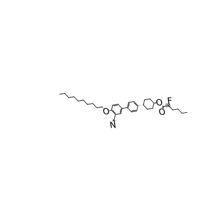 CCCCCCCCCCOc1ccc(-c2ccc([C@H]3CC[C@H](OC(=O)[C@@H](F)CCCC)CC3)cc2)cc1C#N